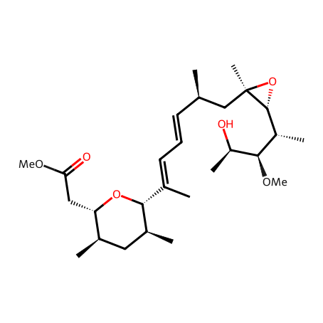 COC(=O)C[C@@H]1O[C@H](/C(C)=C/C=C/[C@@H](C)C[C@@]2(C)O[C@@H]2[C@H](C)[C@@H](OC)[C@@H](C)O)[C@@H](C)C[C@H]1C